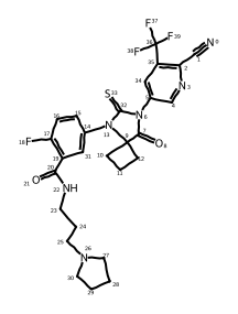 N#Cc1ncc(N2C(=O)C3(CCC3)N(c3ccc(F)c(C(=O)NCCCN4CCCC4)c3)C2=S)cc1C(F)(F)F